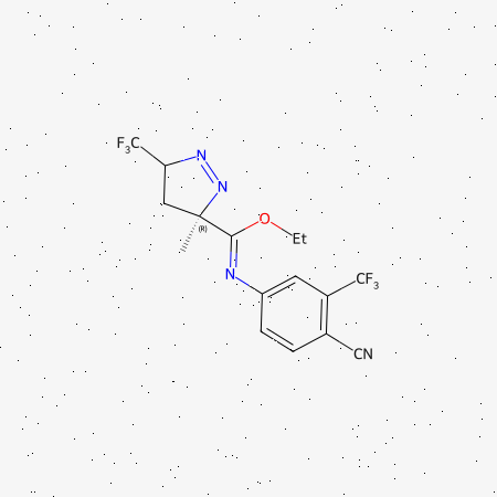 CCOC(=Nc1ccc(C#N)c(C(F)(F)F)c1)[C@@]1(C)CC(C(F)(F)F)N=N1